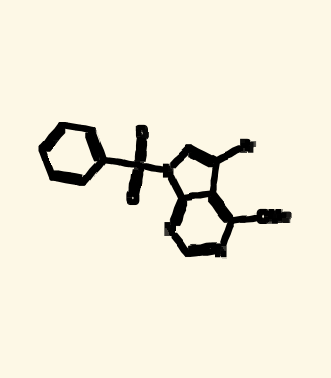 COc1ncnc2c1c(Br)cn2S(=O)(=O)c1ccccc1